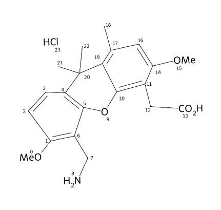 COc1ccc2c(c1CN)Oc1c(CC(=O)O)c(OC)cc(C)c1C2(C)C.Cl